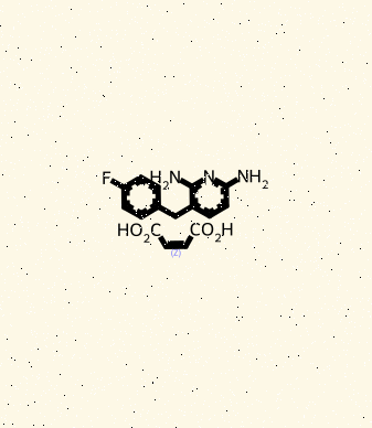 Nc1ccc(Cc2ccc(F)cc2)c(N)n1.O=C(O)/C=C\C(=O)O